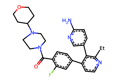 CCc1nccc(-c2ccc(C(=O)N3CCN(C4CCOCC4)CC3)c(F)c2)c1-c1ccc(N)nc1